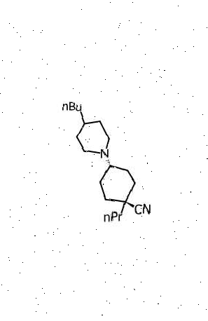 CCCCC1CCN([C@H]2CC[C@@](C#N)(CCC)CC2)CC1